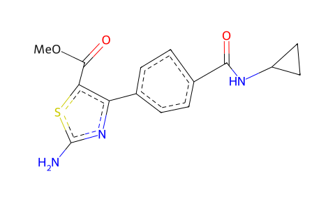 COC(=O)c1sc(N)nc1-c1ccc(C(=O)NC2CC2)cc1